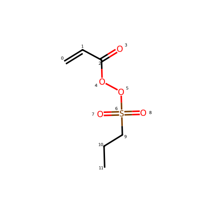 C=CC(=O)OOS(=O)(=O)CCC